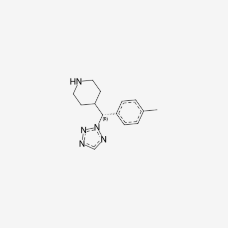 Cc1ccc([C@@H](C2CCNCC2)n2ncnn2)cc1